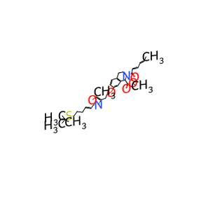 CC=CC=CC(=O)N1CCc2ccc(OCCc3nc(/C=C/CCCSC(C)(C)C)oc3C)cc2C1C(=O)OC